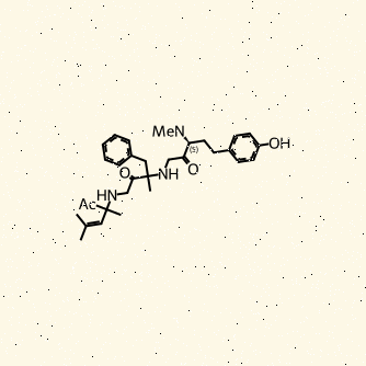 CN[C@@H](CCc1ccc(O)cc1)C(=O)CNC(C)(Cc1ccccc1)C(=O)CNC(C)(C=C(C)C)C(C)=O